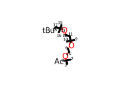 CC(=O)C(C)(C)OCCOC(C)(C)CCOC(C)(C)CC(C)(C)C